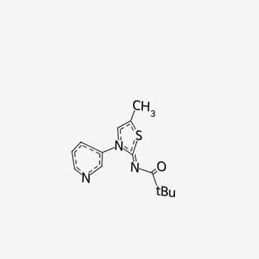 Cc1cn(-c2cccnc2)c(=NC(=O)C(C)(C)C)s1